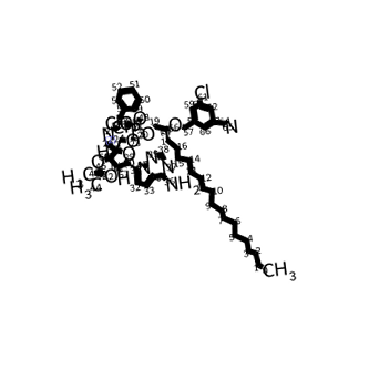 CCCCCCCCCCCCCCCCCC[C@@H](COP(=O)(OC[C@@]1(/C=N\C)O[C@@H](c2ccc3c(N)ncnn23)[C@@H]2OC(C)(C)O[C@@H]21)Oc1ccccc1Cl)OCc1cc(Cl)cc(C#N)c1